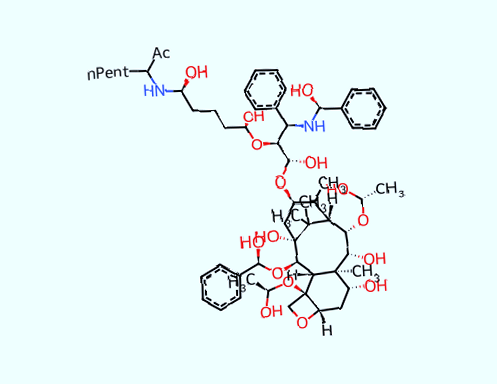 CCCCCC(N[C@@H](O)CCC[C@@H](O)O[C@H]([C@H](O)O[C@@H]1C[C@]2(O)[C@H](O[C@H](O)c3ccccc3)[C@H]3[C@@]4(O[C@H](C)O)CO[C@H]4C[C@@H](O)[C@]3(C)[C@@H](O)[C@@H](O[C@@H](C)O)[C@@H](C1C)C2(C)C)[C@H](N[C@@H](O)c1ccccc1)c1ccccc1)C(C)=O